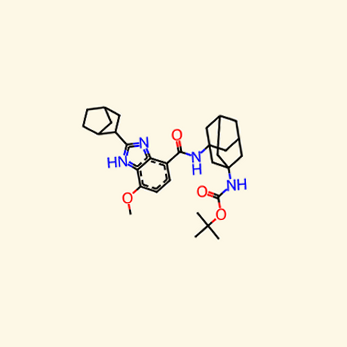 COc1ccc(C(=O)NC23CC4CC(CC(NC(=O)OC(C)(C)C)(C4)C2)C3)c2nc(C3CC4CCC3C4)[nH]c12